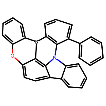 c1ccc(-c2cccc3c2-n2c4ccccc4c4ccc5c(c42)B3c2ccccc2O5)cc1